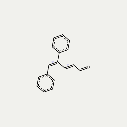 O=C/C=C/C(=C\c1ccccc1)c1ccccc1